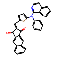 O=C1C(=Cc2ccc(N(c3ccccc3)c3nccc4ccccc34)s2)C(=O)c2cc3ccccc3cc21